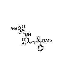 COC(C(=O)OCCC(CC(=O)NCCS(=O)(=O)OC)C(C)=O)c1ccccc1